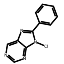 Cln1c(-c2ccccc2)nc2cncnc21